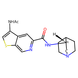 CC(=O)Nc1csc2cnc(C(=O)N[C@H]3CN4CCC3CC4)cc12